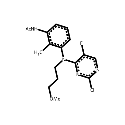 COCCCN(c1cccc(NC(C)=O)c1C)c1nc(Cl)ncc1F